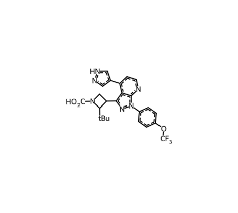 CC(C)(C)C1C(c2nn(-c3ccc(OC(F)(F)F)cc3)c3nccc(-c4cn[nH]c4)c23)CN1C(=O)O